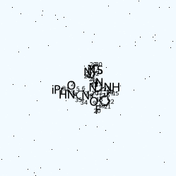 CC(C)C(=O)NC1CCN(C(=O)c2cc(N[C@H](C)c3ccc(F)cc3)nc(-c3cnn4ccsc34)n2)CC1